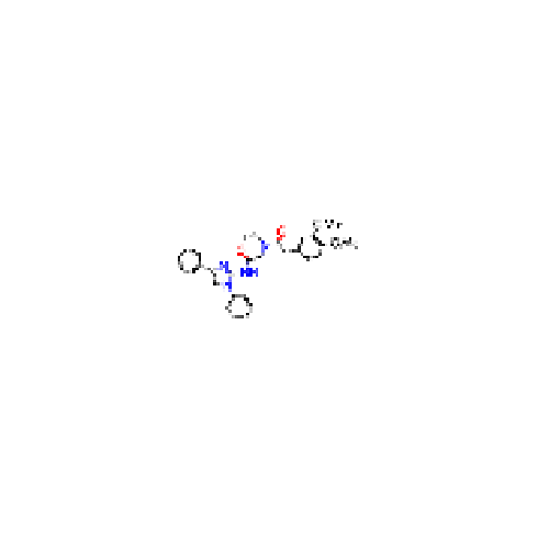 COc1ccc(CC(=O)N(CC(=O)Nc2nc(-c3ccccc3)cn2-c2ccccc2)C(C)C)cc1OC